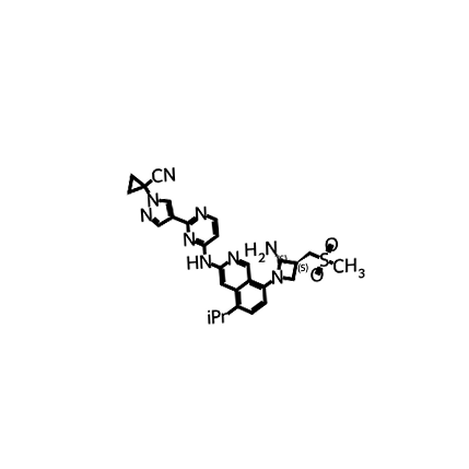 CC(C)c1ccc(N2C[C@H](CS(C)(=O)=O)[C@H]2N)c2cnc(Nc3ccnc(-c4cnn(C5(C#N)CC5)c4)n3)cc12